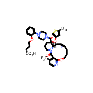 O=C(O)CCCOc1ccccc1N1CCN(C(=O)C2(Oc3csc(C(F)(F)F)c3)CCCN3C(=O)c4c(C(F)(F)F)ccnc4OCCC/C=C\C[C@@H]32)CC1